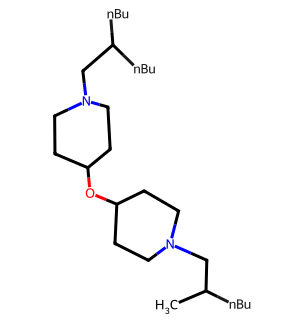 CCCCC(C)CN1CCC(OC2CCN(CC(CCCC)CCCC)CC2)CC1